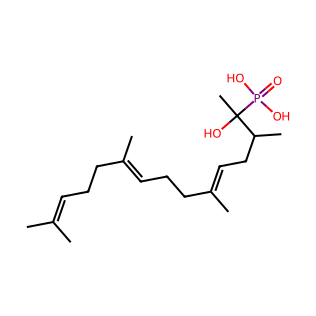 CC(C)=CCCC(C)=CCCC(C)=CCC(C)C(C)(O)P(=O)(O)O